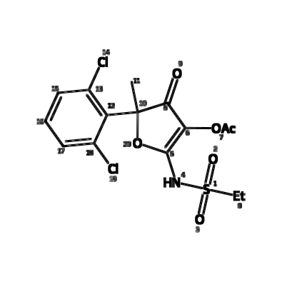 CCS(=O)(=O)NC1=C(OC(C)=O)C(=O)C(C)(c2c(Cl)cccc2Cl)O1